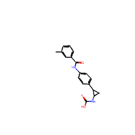 Cc1cccc(C(=O)Nc2ccc(C3CC3NC(=O)O)cc2)c1